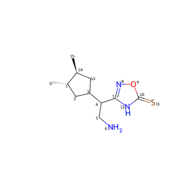 C[C@H]1CC(C(CN)c2noc(=S)[nH]2)C[C@@H]1C